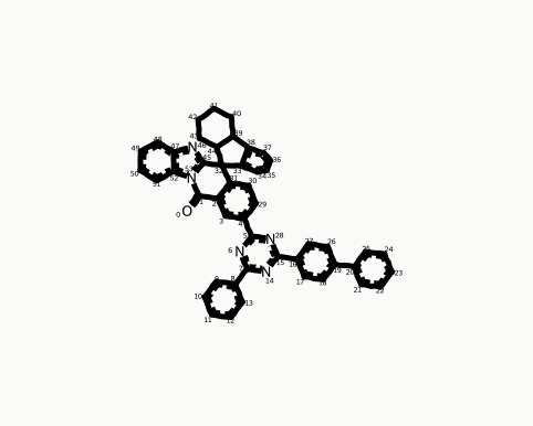 O=C1c2cc(-c3nc(-c4ccccc4)nc(-c4ccc(-c5ccccc5)cc4)n3)ccc2C2(c3ccccc3C3CCCCC32)c2nc3ccccc3n21